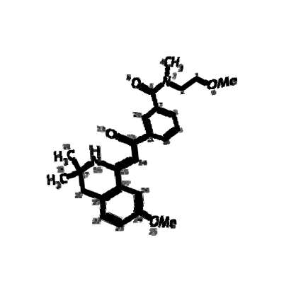 COCCN(C)C(=O)c1cccc(C(=O)/C=C2\NC(C)(C)Cc3ccc(OC)cc32)c1